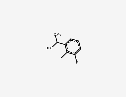 COC([C]=O)c1cccc(F)c1C